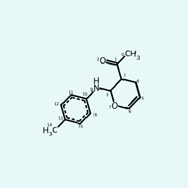 CC(=O)C1CC=COC1Nc1ccc(C)cc1